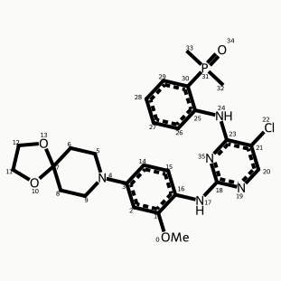 COc1cc(N2CCC3(CC2)OCCO3)ccc1Nc1ncc(Cl)c(Nc2ccccc2P(C)(C)=O)n1